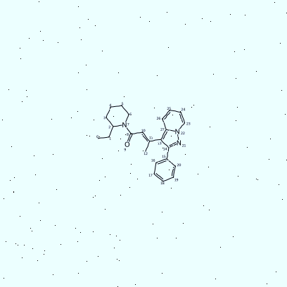 CCC1CCCCN1C(=O)C=C(C)c1c(-c2ccccc2)nn2ccccc12